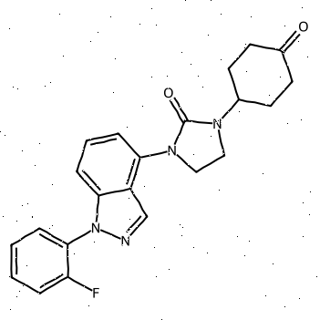 O=C1CCC(N2CCN(c3cccc4c3cnn4-c3ccccc3F)C2=O)CC1